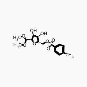 COC(OC)[C@@H]1O[C@@H](COS(=O)(=O)c2ccc(C)cc2)[C@@H](O)[C@@H]1O